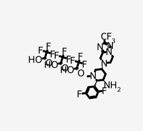 CN1C[C@H](N2CCn3nc(C(F)(F)F)nc3C2)C[C@H](N)[C@H]1c1cc(F)ccc1F.O=C(O)C(F)(F)F.O=C(O)C(F)(F)F.O=C(O)C(F)(F)F